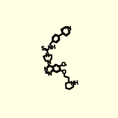 COc1cc2c(N3CCN(C(=S)NCc4ccc(-c5ccncc5)cc4)CC3)ncnc2cc1OCCC1CCCCN1